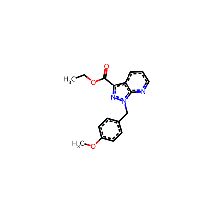 CCOC(=O)c1nn(Cc2ccc(OC)cc2)c2ncccc12